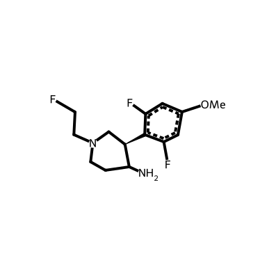 COc1cc(F)c([C@@H]2CN(CCF)CCC2N)c(F)c1